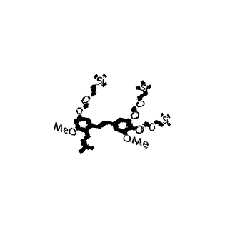 COc1cc(OCOCC[Si](C)(C)C)cc(/C=C/c2cc(OC)c(OCOCC[Si](C)(C)C)c(OCOCC[Si](C)(C)C)c2)c1CC=C(C)C